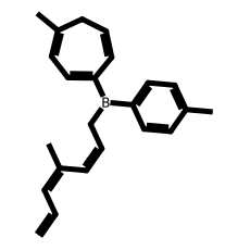 C=C/C=C(C)\C=C/CB(C1=CC=C(C)CC=C1)c1ccc(C)cc1